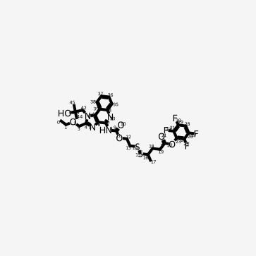 CCOCc1nc2c(NC(=O)OCCSSC(C)CCC(=O)Oc3c(F)c(F)cc(F)c3F)nc3ccccc3c2n1CC(C)(C)O